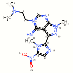 CN(C)CCn1cnc2c(c(-c3ncc([N+](=O)[O-])n3C)nn2C)c1=N